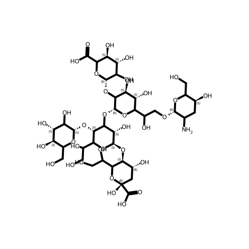 NC1C[C@H](O)C(CO)O[C@H]1OCC(O)C1O[C@H](OC2[C@@H](O[C@@H]3OC(CO)[C@@H](O)[C@H](O)C3O)C(C(O)CO)O[C@H](O[C@@H]3C(C(O)CO)O[C@@](O)(C(=O)O)C[C@H]3O)[C@H]2O)C(O[C@@H]2OC(C(=O)O)[C@@H](O)[C@H](O)C2O)[C@@H](O)[C@@H]1O